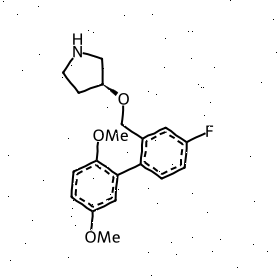 COc1ccc(OC)c(-c2ccc(F)cc2CO[C@H]2CCNC2)c1